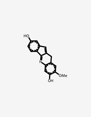 COc1cc2c(cc1O)N=C1C(=Cc3cc(O)ccc31)C2